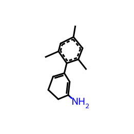 Cc1cc(C)c(C2=CCCC(N)=C2)c(C)c1